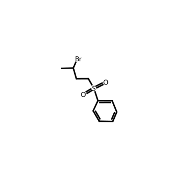 CC(Br)CCS(=O)(=O)c1ccccc1